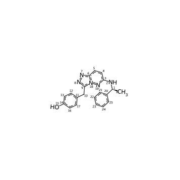 C[C@H](Nc1ccc2nnc(Cc3ccc(O)cc3)n2n1)c1ccccc1